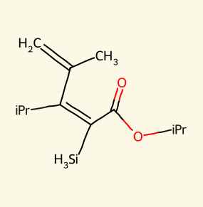 C=C(C)C(=C([SiH3])C(=O)OC(C)C)C(C)C